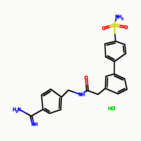 Cl.N=C(N)c1ccc(CNC(=O)Cc2cccc(-c3ccc(S(N)(=O)=O)cc3)c2)cc1